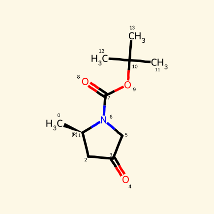 C[C@@H]1CC(=O)CN1C(=O)OC(C)(C)C